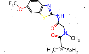 C[C@@H]([AsH2])C(=O)N(C)CC(=O)Nc1nc2ccc(OC(F)(F)F)cc2s1